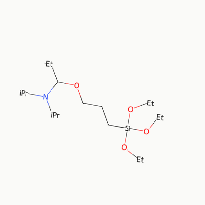 C[CH]C(OCCC[Si](OCC)(OCC)OCC)N(C(C)C)C(C)C